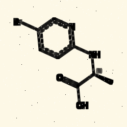 C[C@H](Nc1ccc(Br)cn1)C(=O)O